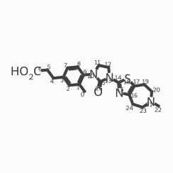 Cc1cc(CCC(=O)O)ccc1N1CCN(c2nc3c(s2)CCN(C)CC3)C1=O